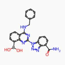 NC(=O)c1cccc2c1nnn2-c1nc(NCc2ccccc2)c2cccc(B(O)O)c2n1